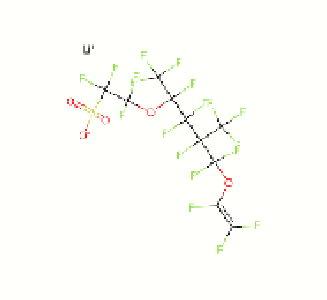 O=S(=O)([O-])C(F)(F)C(F)(F)OC(F)(C(F)(F)F)C(F)(F)C(F)(C(F)(F)F)C(F)(F)OC(F)=C(F)F.[Li+]